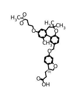 Cc1cc(OCCCS(C)(=O)=O)cc2c1-c1cc(COc3ccc4c(c3)OC[C@H]4CCC(=O)O)ccc1OC(C)(C)C2